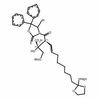 CCCCCCCC1(CCCCCCC=C[C@H](C(=O)N2C(=S)OC(c3ccccc3)(c3ccccc3)C2C(C)C)[C@@](O)(COC)C(=O)O)OCCO1